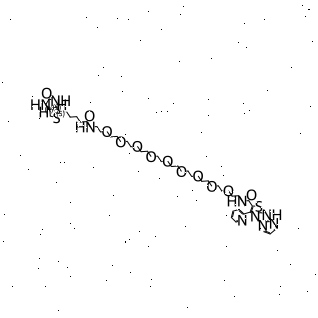 O=C(CCCC[C@@H]1SC[C@@H]2NC(=O)N[C@@H]21)NCCOCCOCCOCCOCCOCCOCCOCCOCCOCCNC(=O)c1sc(Nc2ncccn2)nc1-c1ccccn1